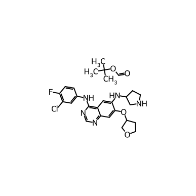 CC(C)(C)OC=O.Fc1ccc(Nc2ncnc3cc(OC4CCOC4)c(NC4CCNC4)cc23)cc1Cl